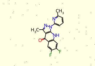 Cc1cccc(-n2nc(C)c3c(=O)c4cc(F)c(F)cc4[nH]c32)n1